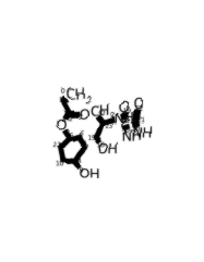 C=CC(=O)OC1CCC(O)CC1.CC(N)CO.N=C=O.N=C=O